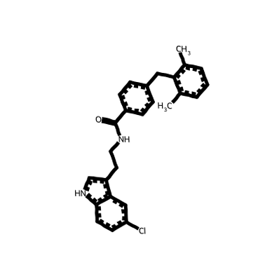 Cc1cccc(C)c1Cc1ccc(C(=O)NCCc2c[nH]c3ccc(Cl)cc23)cc1